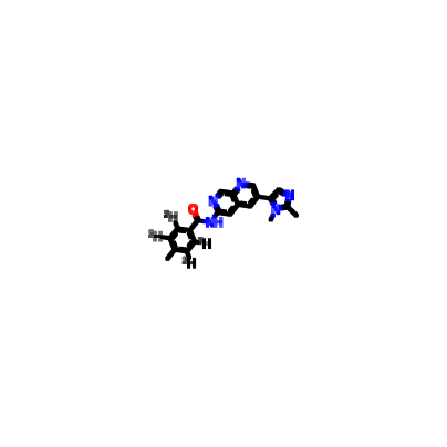 [2H]c1c([2H])c(C(=O)Nc2cc3cc(-c4cnc(C)n4C)cnc3cn2)c([2H])c([2H])c1C